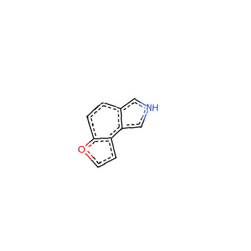 c1cc2c(ccc3c[nH]cc32)o1